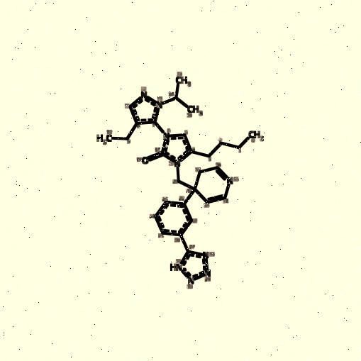 CCCCc1cn(-c2c(CC)cnn2C(C)C)c(=O)n1CC1(c2cccc(-c3nnn[nH]3)c2)C=CN=CC1